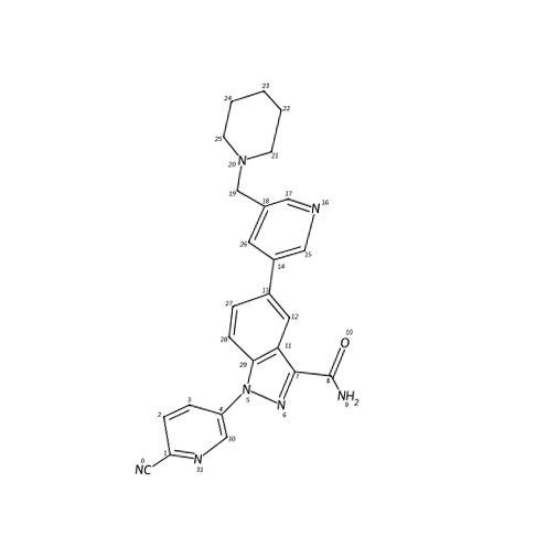 N#Cc1ccc(-n2nc(C(N)=O)c3cc(-c4cncc(CN5CCCCC5)c4)ccc32)cn1